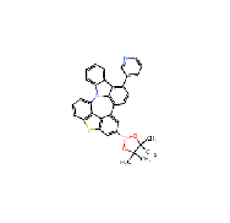 CC1(C)OB(c2cc3sc4cccc5c4c3c(c2)c2ccc(-c3cccnc3)c3c4ccccc4n5c23)OC1(C)C